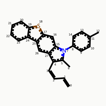 C=C/C=C\c1c(C)n(-c2ccc(C)cc2)c2cc3sc4ccccc4c3cc12